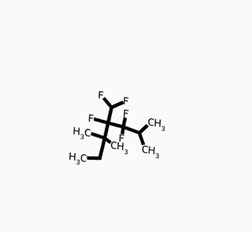 CCC(C)(C)C(F)(C(F)F)C(F)(F)C(C)C